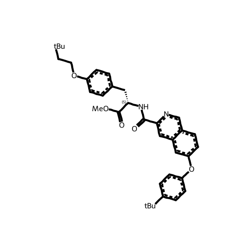 COC(=O)[C@H](Cc1ccc(OCCC(C)(C)C)cc1)NC(=O)c1cc2cc(Oc3ccc(C(C)(C)C)cc3)ccc2cn1